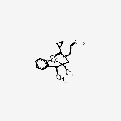 C=CCN(CC(C)(C)C(C)c1ccccc1)C(=O)C1CC1